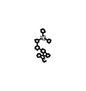 c1ccc(C2=NC(c3cccc(-c4cccc(-c5ccc6c(c5)C5(c7ccccc7-c7ccccc75)c5ccccc5-6)c4)c3)NC(c3ccccc3)=N2)cc1